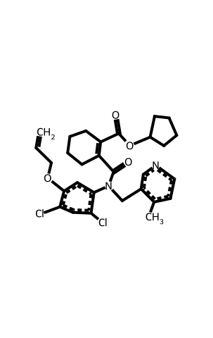 C=CCOc1cc(N(Cc2cnccc2C)C(=O)C2=C(C(=O)OC3CCCC3)CCCC2)c(Cl)cc1Cl